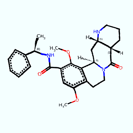 COc1cc(C(=O)N[C@H](C)c2ccccc2)c(OC)c2c1CCN1C(=O)[C@H]3CCCN[C@H]3C[C@H]21